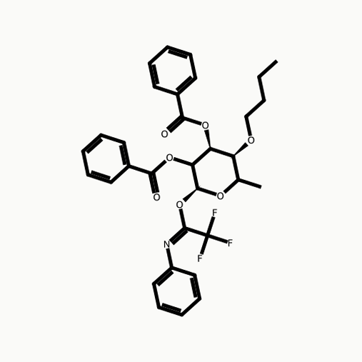 CCCCO[C@H]1C(C)O[C@@H](O/C(=N/c2ccccc2)C(F)(F)F)C(OC(=O)c2ccccc2)[C@H]1OC(=O)c1ccccc1